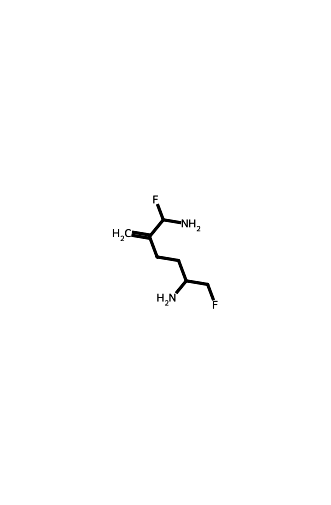 C=C(CCC(N)CF)C(N)F